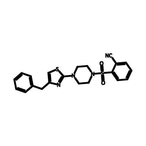 N#Cc1ccccc1S(=O)(=O)N1CCN(c2nc(Cc3ccccc3)cs2)CC1